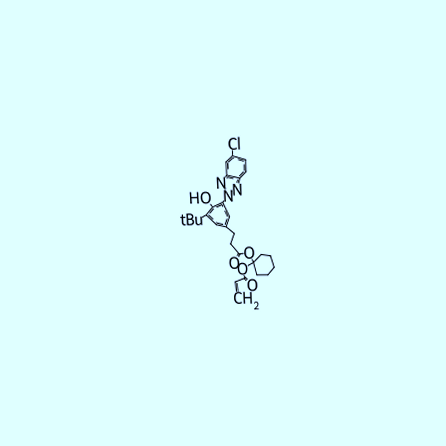 C=CC(=O)OC1(OC(=O)CCc2cc(-n3nc4ccc(Cl)cc4n3)c(O)c(C(C)(C)C)c2)CCCCC1